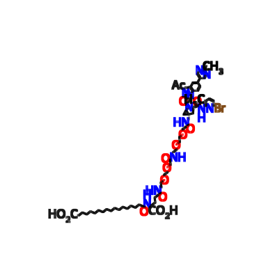 CC(=O)c1nn(CC(=O)N2C3C[C@]3(CNC(=O)COCCOCCNC(=O)COCCOCCNC(=O)CC[C@H](NC(=O)CCCCCCCCCCCCCCCCC(=O)O)C(=O)O)C[C@H]2C(=O)Nc2nc(Br)ccc2C)c2ccc(-c3cnc(C)nc3)cc12